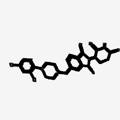 O=C1CCC(N2C(=O)c3ccc(CN4CCN(c5ncc(Cl)cc5Cl)CC4)cc3C2=O)C(=O)N1